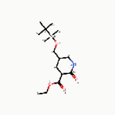 CCOC(=O)C1CC(CO[Si](C)(C)C(C)(C)C)CNC1=O